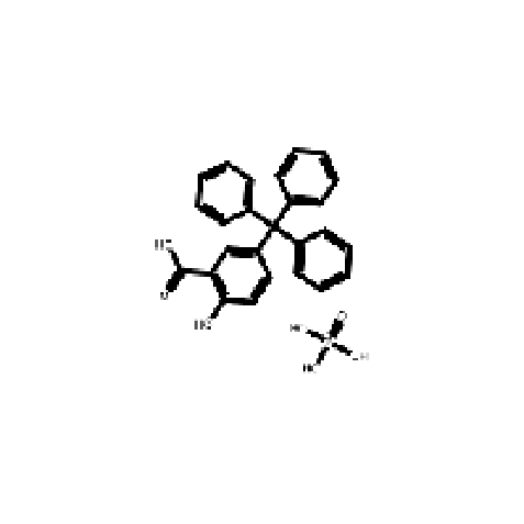 O=C(O)c1cc(C(c2ccccc2)(c2ccccc2)c2ccccc2)ccc1O.O=P(O)(O)O